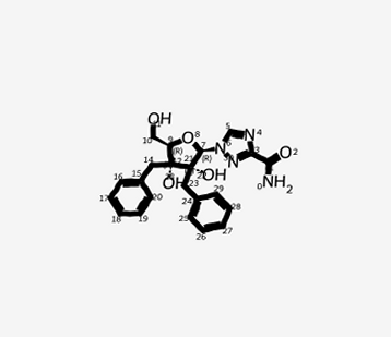 NC(=O)c1ncn([C@@H]2O[C@H](CO)[C@](O)(Cc3ccccc3)[C@]2(O)Cc2ccccc2)n1